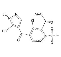 CCn1ncc(C(=O)c2ccc(S(C)(=O)=O)c(C(=O)OC)c2Cl)c1O